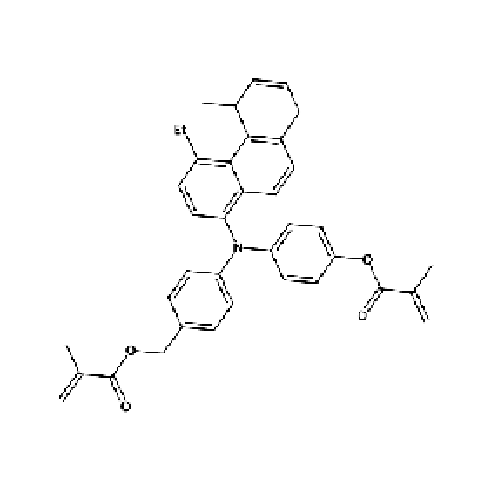 C=C(C)C(=O)OCc1ccc(N(c2ccc(OC(=O)C(=C)C)cc2)c2ccc(CC)c3c4c(ccc23)CC=CC4C)cc1